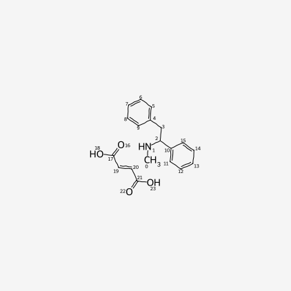 CNC(Cc1ccccc1)c1ccccc1.O=C(O)C=CC(=O)O